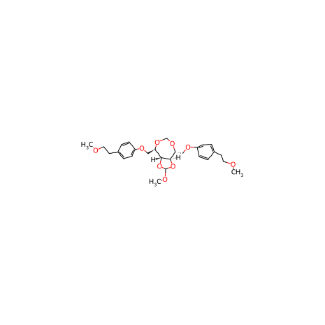 COCCc1ccc(OC[C@H]2OCO[C@H](COc3ccc(CCOC)cc3)[C@H]3OC(OC)O[C@@H]32)cc1